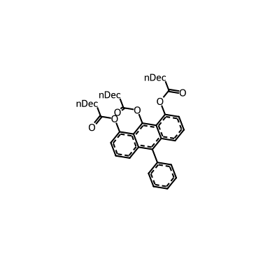 CCCCCCCCCCC(=O)Oc1cccc2c(-c3ccccc3)c3cccc(OC(=O)CCCCCCCCCC)c3c(OC(=O)CCCCCCCCCC)c12